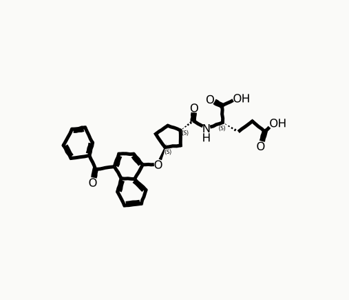 O=C(O)CC[C@H](NC(=O)[C@H]1CC[C@H](Oc2ccc(C(=O)c3ccccc3)c3ccccc23)C1)C(=O)O